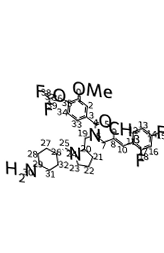 COc1cc(C(=O)N(C/C(C)=C/c2ccc(F)cc2F)CC2CCCN2C[C@H]2CC[C@@H](N)CC2)ccc1OC(F)F